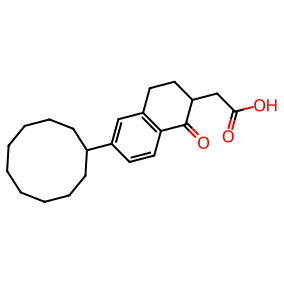 O=C(O)CC1CCc2cc(C3CCCCCCCCC3)ccc2C1=O